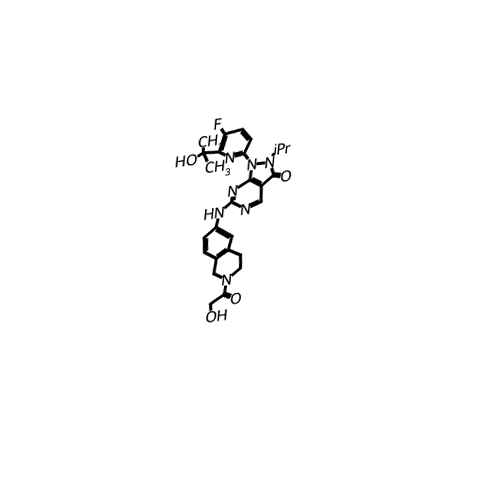 CC(C)n1c(=O)c2cnc(Nc3ccc4c(c3)CCN(C(=O)CO)C4)nc2n1-c1ccc(F)c(C(C)(C)O)n1